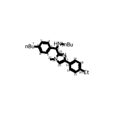 CCCCNC(c1ccc(CCCC)cc1)c1nc(-c2ccc(CC)cc2)cn1C